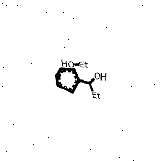 CCC(O)c1ccccc1.CCO